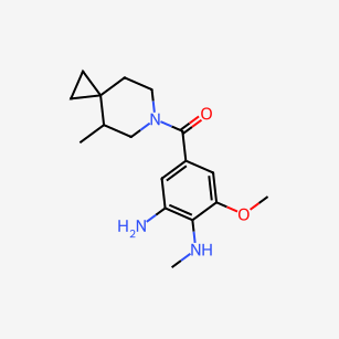 CNc1c(N)cc(C(=O)N2CCC3(CC3)C(C)C2)cc1OC